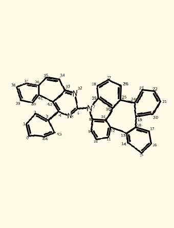 c1ccc(-c2nc(-n3c4cccc5c6ccccc6c6ccccc6c6cccc3c6c54)nc3ccc4ccccc4c23)cc1